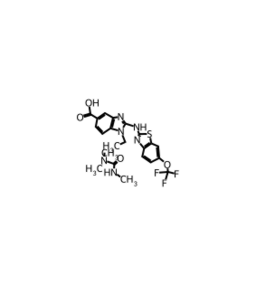 CCn1c(Nc2nc3ccc(OC(F)(F)F)cc3s2)nc2cc(C(=O)O)ccc21.CNC(=O)N(C)C